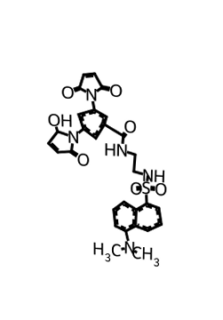 CN(C)c1cccc2c(S(=O)(=O)NCCNC(=O)c3cc(N4C(=O)C=CC4=O)cc(N4C(=O)C=CC4O)c3)cccc12